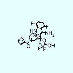 NC1=N[C@@]2(CCN(C(=O)c3cccs3)C[C@@H]2F)Nc2c(F)ccc(F)c21.O=C(O)C(F)(F)F